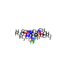 CN(Cc1cccc(-c2c(NC(=O)C(F)(F)F)nc(N(C)C(=O)OC(C)(C)C)c3ncn(C)c23)c1)C(=O)OC(C)(C)C